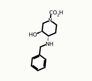 O=C(O)N1CC[C@H](NCc2ccccc2)[C@@H](O)C1